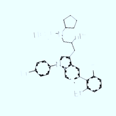 CCCC(Cc1cn(-c2ccc(C(C)C)cc2)c2cnc(-c3c(CC)cccc3CC)cc12)CN(C(=O)O)C1CCCC1